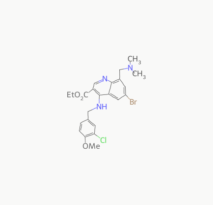 CCOC(=O)c1cnc2c(CN(C)C)cc(Br)cc2c1NCc1ccc(OC)c(Cl)c1